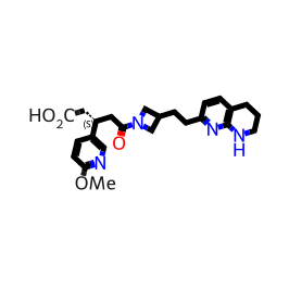 COc1ccc([C@H](CC(=O)O)CC(=O)N2CC(CCc3ccc4c(n3)NCCC4)C2)cn1